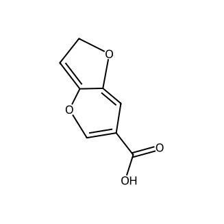 O=C(O)C1=COC2=CCOC2=C1